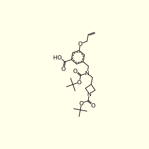 C=CCOc1cc(CN(CC2CN(C(=O)OC(C)(C)C)C2)C(=O)OC(C)(C)C)cc(C(=O)O)c1